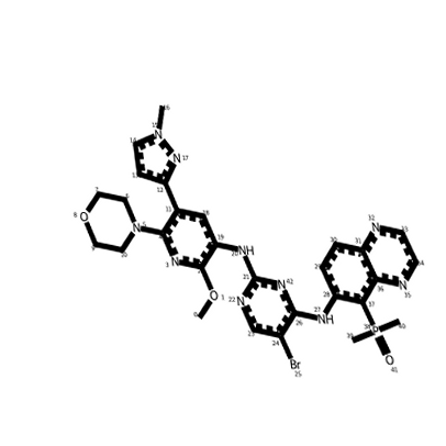 COc1nc(N2CCOCC2)c(-c2ccn(C)n2)cc1Nc1ncc(Br)c(Nc2ccc3nccnc3c2P(C)(C)=O)n1